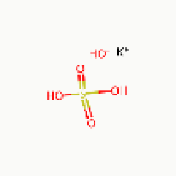 O=S(=O)(O)O.[K+].[OH-]